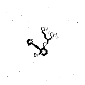 CCCCC(CC)COc1cccc(Br)c1C#Cc1cccs1